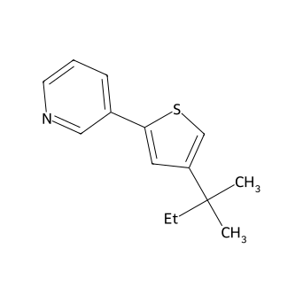 CCC(C)(C)c1csc(-c2cccnc2)c1